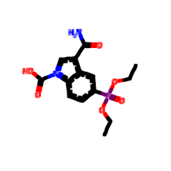 CCOP(=O)(OCC)c1ccc2c(c1)c(C(N)=O)cn2C(=O)O